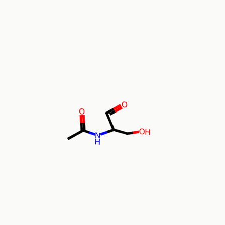 CC(=O)NC(C=O)CO